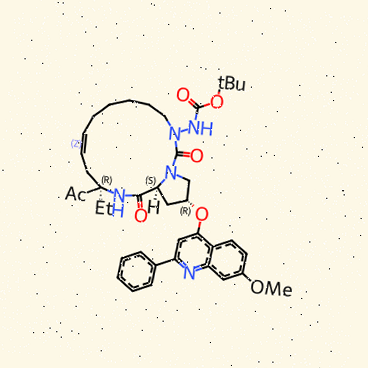 CC[C@]1(C(C)=O)C/C=C\CCCCCN(NC(=O)OC(C)(C)C)C(=O)N2C[C@H](Oc3cc(-c4ccccc4)nc4cc(OC)ccc34)C[C@H]2C(=O)N1